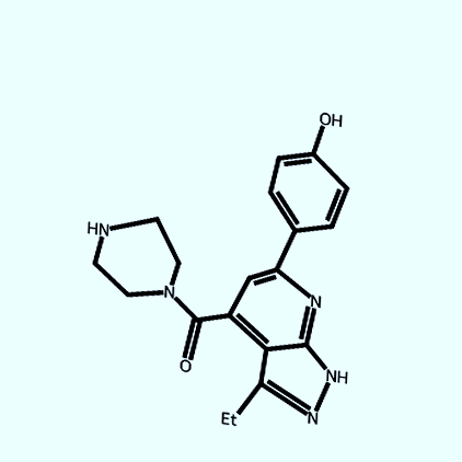 CCc1n[nH]c2nc(-c3ccc(O)cc3)cc(C(=O)N3CCNCC3)c12